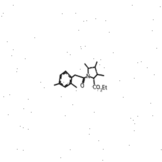 CCOC(=O)C1C(C)C(C)C(C)N1C(=O)Cc1ccc(C)cc1C